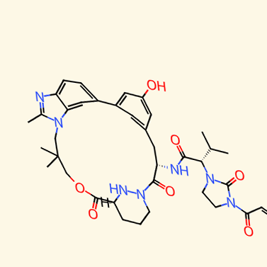 C=CC(=O)N1CCN([C@H](C(=O)N[C@H]2Cc3cc(O)cc(c3)-c3ccc4nc(C)n(c4c3)CC(C)(C)COC(=O)[C@@H]3CCCN(N3)C2=O)C(C)C)C1=O